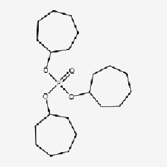 O=P(OC1CCCCCC1)(OC1CCCCCC1)OC1CCCCCC1